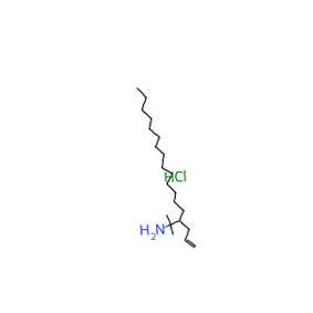 C=CCC(CCCCCCCCCCCCCC)C(C)(C)N.Cl